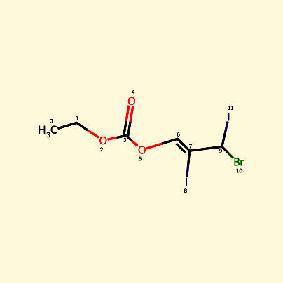 CCOC(=O)OC=C(I)C(Br)I